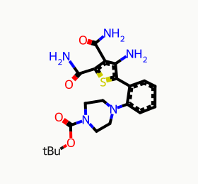 CC(C)(C)OC(=O)N1CCN(c2ccccc2-c2sc(C(N)=O)c(C(N)=O)c2N)CC1